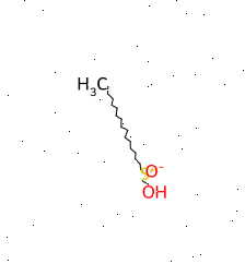 CCCCCCCCCCCCCCCCC[S+]([O-])CCO